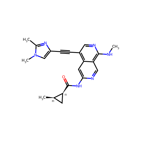 CNc1ncc(C#Cc2cn(C)c(C)n2)c2cc(NC(=O)[C@H]3C[C@H]3C)ncc12